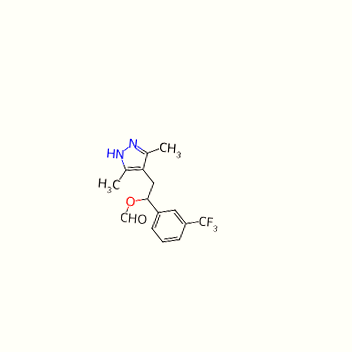 Cc1n[nH]c(C)c1CC(OC=O)c1cccc(C(F)(F)F)c1